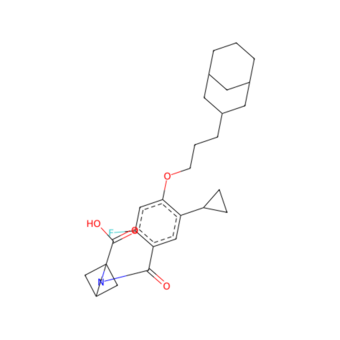 O=C(c1cc(C2CC2)c(OCCCC2CC3CCCC(C2)C3)cc1F)N1CC2CC1(C(=O)O)C2